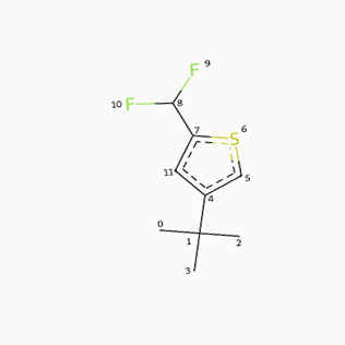 CC(C)(C)c1csc(C(F)F)c1